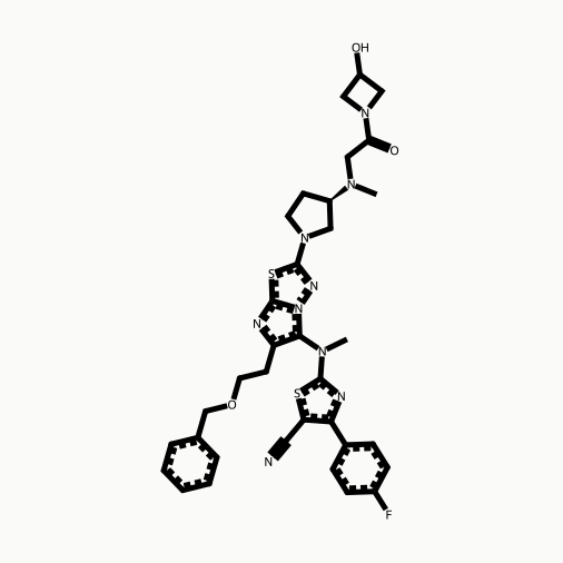 CN(c1nc(-c2ccc(F)cc2)c(C#N)s1)c1c(CCOCc2ccccc2)nc2sc(N3CC[C@@H](N(C)CC(=O)N4CC(O)C4)C3)nn12